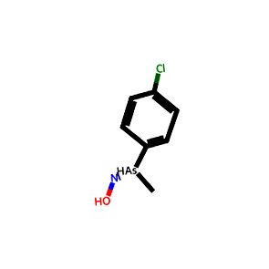 C/[AsH](=N\O)c1ccc(Cl)cc1